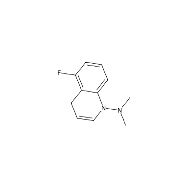 CN(C)N1C=CCc2c(F)cccc21